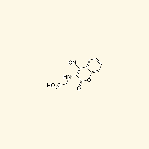 O=Nc1c(NCC(=O)O)c(=O)oc2ccccc12